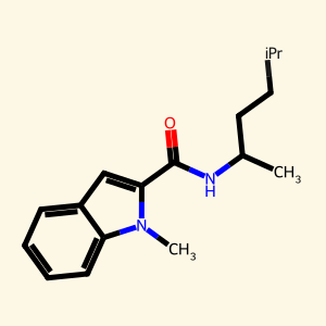 CC(C)CCC(C)NC(=O)c1cc2ccccc2n1C